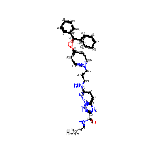 O=C(O)CNC(=O)c1nc2ccc(NCCCN3CCC(OC(c4ccccc4)c4ccccc4)CC3)nn2n1